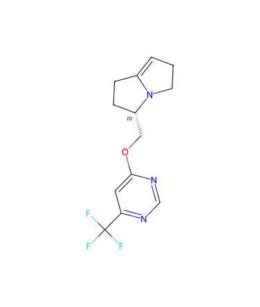 FC(F)(F)c1cc(OC[C@@H]2CCC3=CCCN32)ncn1